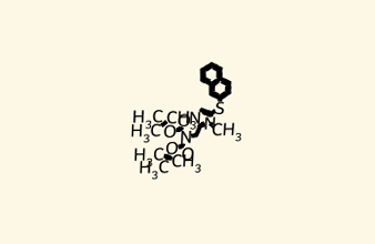 Cn1c(Sc2ccc3ccccc3c2)cnc1CN(C(=O)OC(C)(C)C)C(=O)OC(C)(C)C